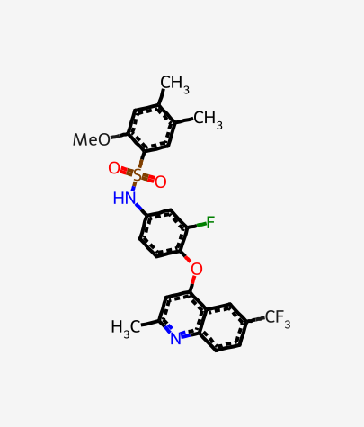 COc1cc(C)c(C)cc1S(=O)(=O)Nc1ccc(Oc2cc(C)nc3ccc(C(F)(F)F)cc23)c(F)c1